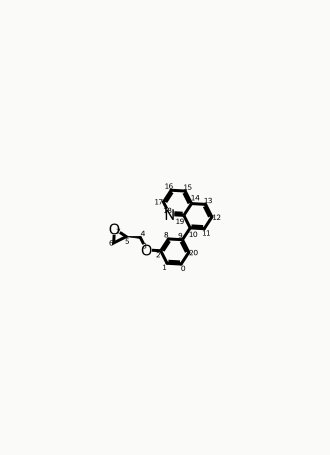 c1cc(OC[C@H]2CO2)cc(-c2cccc3cccnc23)c1